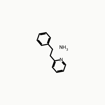 N.c1ccc(CCc2ccccn2)cc1